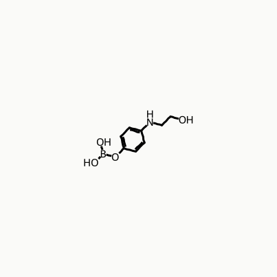 OCCNc1ccc(OB(O)O)cc1